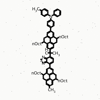 CCCCCCCCC1Cc2cc(-c3ccc(C(C)(C)c4cc5c6c(c4)C(CCCCCCCC)Cc4cc(-c7ccc(N(c8ccccc8)c8ccc(C)cc8)cc7)cc(c4-6)C(CCCCCCCC)C5)c4nsnc34)cc3c2-c2c(cc(C)cc21)CC3CCCCCCCC